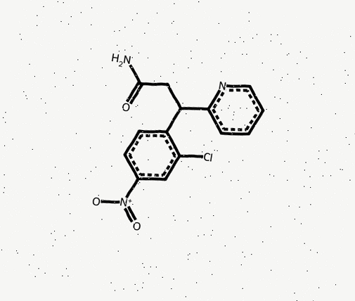 NC(=O)CC(c1ccccn1)c1ccc([N+](=O)[O-])cc1Cl